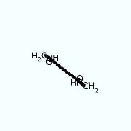 C=CCNC(=O)CCCCCCCCCCCCCCCCC(=O)NCC=C